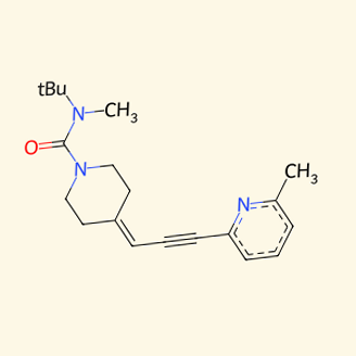 Cc1cccc(C#CC=C2CCN(C(=O)N(C)C(C)(C)C)CC2)n1